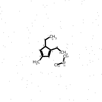 CC[C]1C=C(C)C=C1CC.[Cl][Zr][Cl]